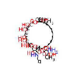 C[C@@H]1OC(=O)CC(O)CC(O)CCC(O)C(O)CC(O)CC2(O)C[C@H](O)C(C(=O)NCCC3CCC3)[C@H](CC(O[C@@H]3O[C@H](C)C(O)[C@H](N)[C@@H]3O)/C=C/C=C/C=C/C=C/C=C/C=C/C=C/[C@H](C)C(O)[C@H]1C)O2